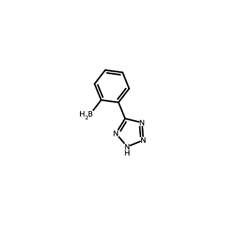 Bc1ccccc1-c1nn[nH]n1